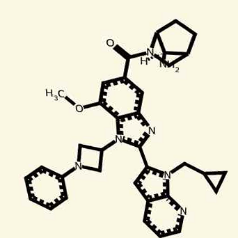 COc1cc(C(=O)N2CC3CCC2[C@@H]3N)cc2nc(-c3cc4cccnc4n3CC3CC3)n(C3CN(c4ccccc4)C3)c12